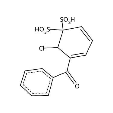 O=C(C1=CC=CC(S(=O)(=O)O)(S(=O)(=O)O)C1Cl)c1ccccc1